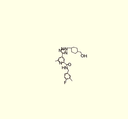 Cc1cc(-c2nnn(CC3CCC(CO)CC3)n2)cc(C(=O)NCc2ccc(F)c(C)c2)n1